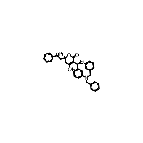 CCCC1(CCc2ccccc2)CC(O)=C(C(CC)c2cccc(N(Cc3ccccc3)Cc3ccccc3)c2)C(=O)O1